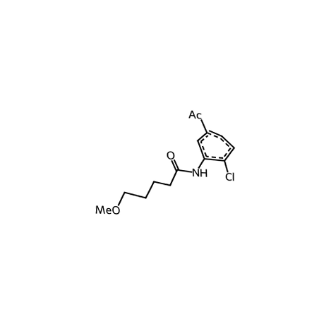 COCCCCC(=O)Nc1cc(C(C)=O)ccc1Cl